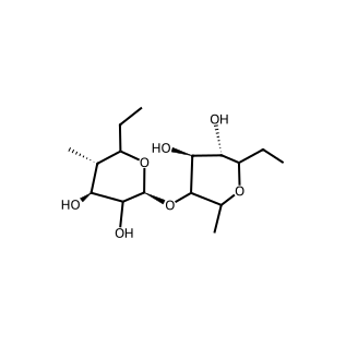 CCC1O[C@@H](OC2C(C)OC(CC)[C@@H](O)[C@@H]2O)C(O)[C@@H](O)[C@@H]1C